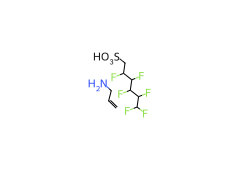 C=CCN.O=S(=O)(O)CC(F)C(F)C(F)C(F)C(F)F